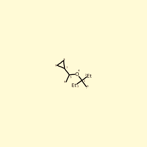 [CH2]C(CC)(CC)OC(C)C1CC1